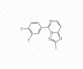 Cc1nc2ccnc(-c3ccc(F)c(F)c3)n2n1